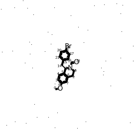 COc1ccc2c(c1)CCN(C=O)[C@@H]2Cc1ccc(Br)cc1